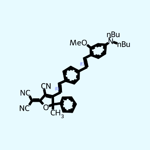 CCCCN(CCCC)c1ccc(/C=C/c2ccc(/C=C/C3=C(C#N)C(=C(C#N)C#N)OC3(C)c3ccccc3)cc2)c(OC)c1